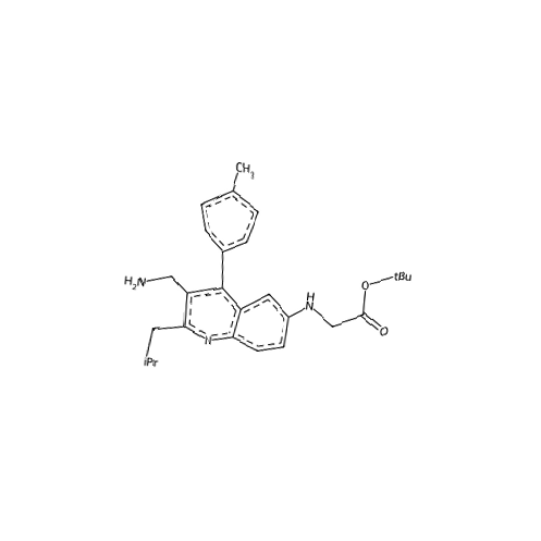 Cc1ccc(-c2c(CN)c(CC(C)C)nc3ccc(NCC(=O)OC(C)(C)C)cc23)cc1